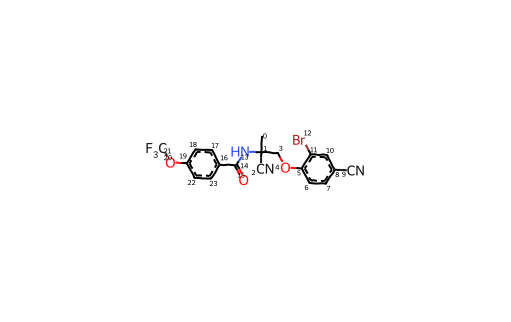 CC(C#N)(COc1ccc(C#N)cc1Br)NC(=O)c1ccc(OC(F)(F)F)cc1